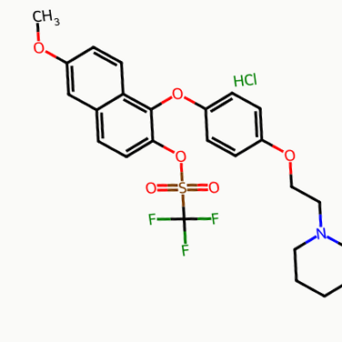 COc1ccc2c(Oc3ccc(OCCN4CCCCC4)cc3)c(OS(=O)(=O)C(F)(F)F)ccc2c1.Cl